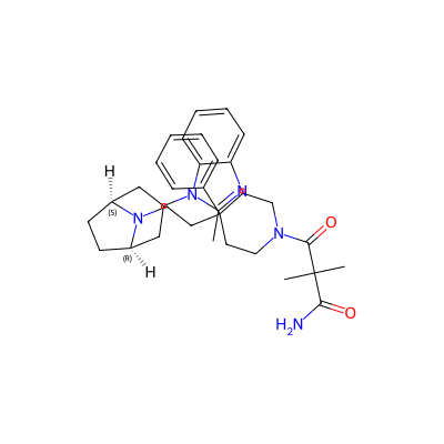 Cc1nc2ccccc2n1C1C[C@H]2CC[C@@H](C1)N2CCC1(c2ccccc2)CCN(C(=O)C(C)(C)C(N)=O)CC1